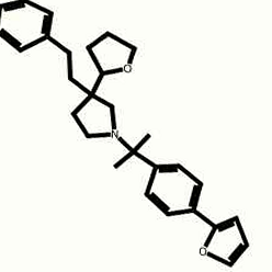 CC(C)(c1ccc(-c2ccco2)cc1)N1CCC(CCc2ccccc2)(C2CCCO2)C1